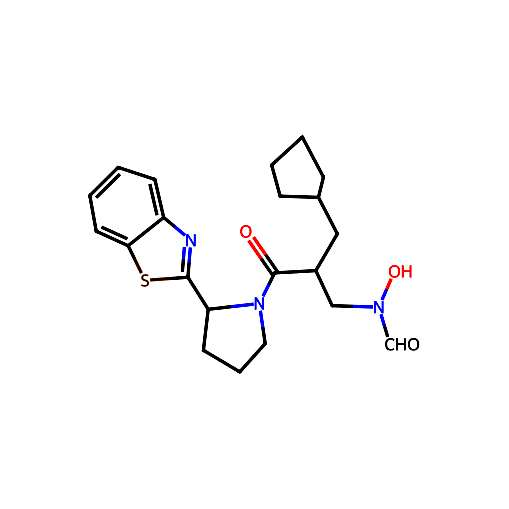 O=CN(O)CC(CC1CCCC1)C(=O)N1CCCC1c1nc2ccccc2s1